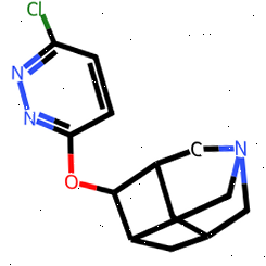 Clc1ccc(OC2C3CC4CC2CN(C4)C3)nn1